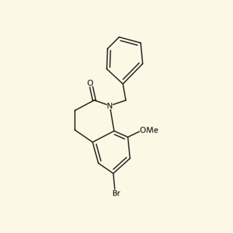 COc1cc(Br)cc2c1N(Cc1ccccc1)C(=O)CC2